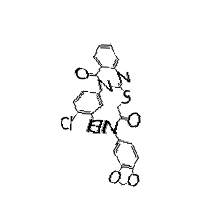 O=C(CSc1nc2ccccc2c(=O)n1-c1ccc(Cl)c(Cl)c1)Nc1ccc2c(c1)OCO2